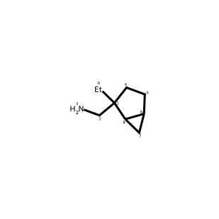 CCC1(CN)CCC2CC21